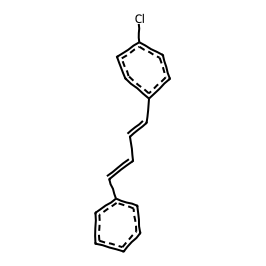 Clc1ccc(C=CC=Cc2ccccc2)cc1